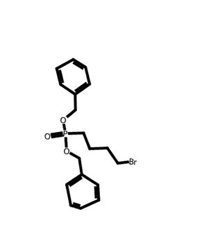 O=P(CCCCBr)(OCc1ccccc1)OCc1ccccc1